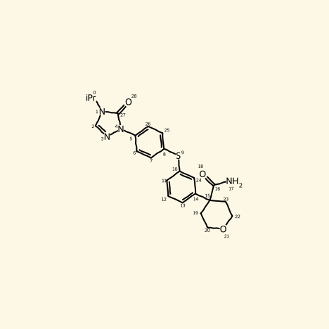 CC(C)n1cnn(-c2ccc(Sc3cccc(C4(C(N)=O)CCOCC4)c3)cc2)c1=O